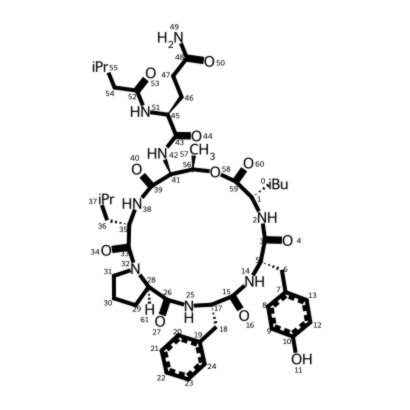 CCC(C)[C@@H]1NC(=O)[C@H](Cc2ccc(O)cc2)NC(=O)[C@H](Cc2ccccc2)NC(=O)[C@H]2CCCN2C(=O)[C@H](CC(C)C)NC(=O)[C@@H](NC(=O)[C@H](CCC(N)=O)NC(=O)CC(C)C)[C@@H](C)OC1=O